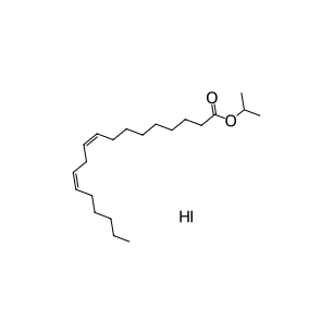 CCCCC/C=C\C/C=C\CCCCCCCC(=O)OC(C)C.I